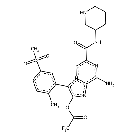 Cc1ccc(S(C)(=O)=O)cc1-c1c(OC(=O)C(F)(F)F)nc2c(N)nc(C(=O)NC3CCCNC3)cn12